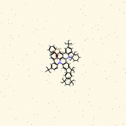 CC(C)(C)c1ccc(N2c3cc4c(cc3B3c5c2cc2c(sc6ccccc62)c5-c2cc(C(C)(C)C)cc5c2N3C2(C)CCCCC52C)C(C)(C)c2cc3c(cc2-4)C(C)(C)CCC3(C)C)c(-c2ccccc2)c1